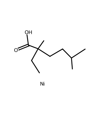 CCC(C)(CCC(C)C)C(=O)O.[Ni]